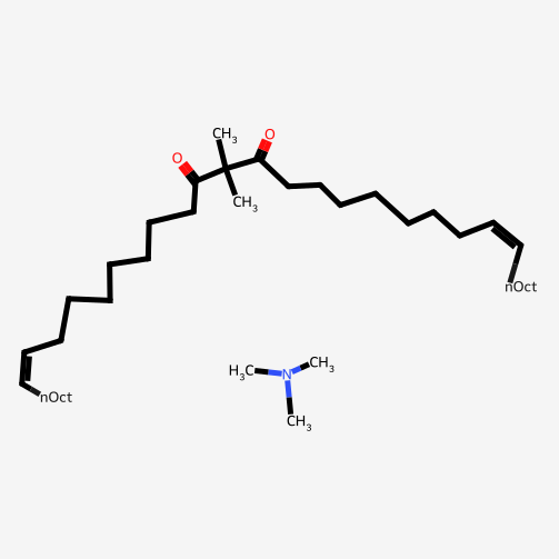 CCCCCCCC/C=C\CCCCCCCC(=O)C(C)(C)C(=O)CCCCCCC/C=C\CCCCCCCC.CN(C)C